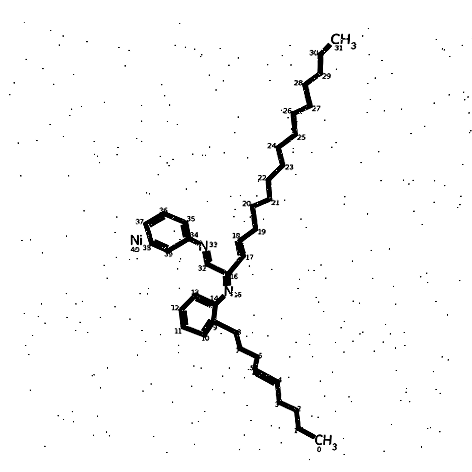 CCCCC=CCCCc1ccccc1N=C(C=CCCCCCCCCCCCCC)C=Nc1ccccc1.[Ni]